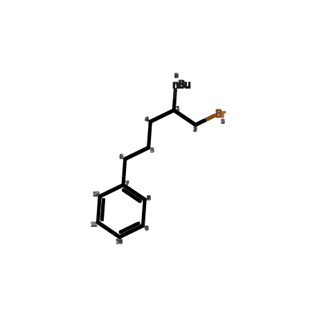 CCCCC(CBr)CCCc1ccccc1